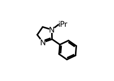 CC(C)N1CCN=C1c1ccccc1